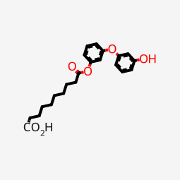 O=C(O)CCCCCCCCC(=O)Oc1cccc(Oc2cccc(O)c2)c1